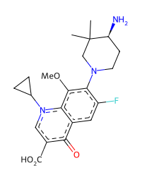 COc1c(N2CC[C@H](N)C(C)(C)C2)c(F)cc2c(=O)c(C(=O)O)cn(C3CC3)c12